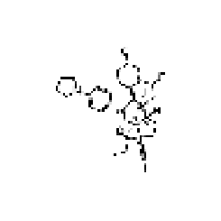 CC#C[C@]1(C(=O)CC)CC[C@H]2[C@@H]3CC(F)C4=CC(=O)CCC4=C3[C@@H](c3ccc(N4CCCC4)cc3)C[C@@]21C